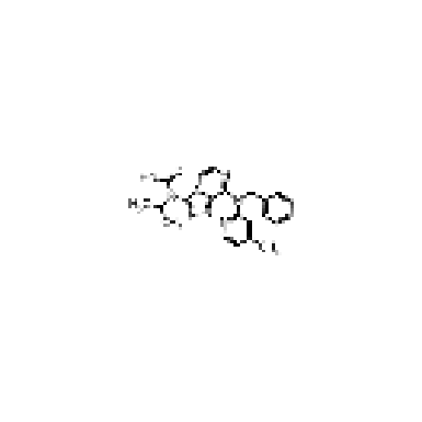 Cc1ccnc(N(Cc2ccccc2)c2nccn3c(N(C(=O)O)C(C)C)nnc23)c1